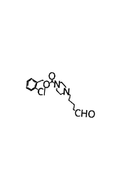 O=CCCCCN1CCN(C(=O)OCc2ccccc2Cl)CC1